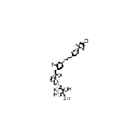 O=C(Cc1ccc(OCCCC2CCN(c3ncc(Cl)cn3)CC2)cc1F)N1CCC12CN(CC(O)C(O)C(O)CO)C2